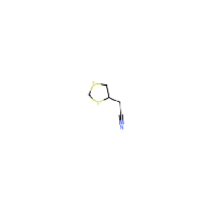 N#CCC1CS[CH]S1